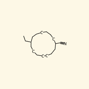 CCC1CCCCCCCC(C#N)CCCCCC1